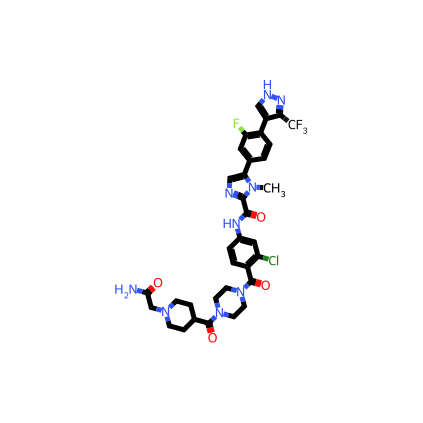 Cn1c(-c2ccc(-c3c[nH]nc3C(F)(F)F)c(F)c2)cnc1C(=O)Nc1ccc(C(=O)N2CCN(C(=O)C3CCN(CC(N)=O)CC3)CC2)c(Cl)c1